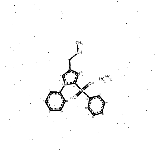 CNCc1cn(-c2ccccc2)c(S(=O)(=O)c2ccccc2)n1.Cl.Cl